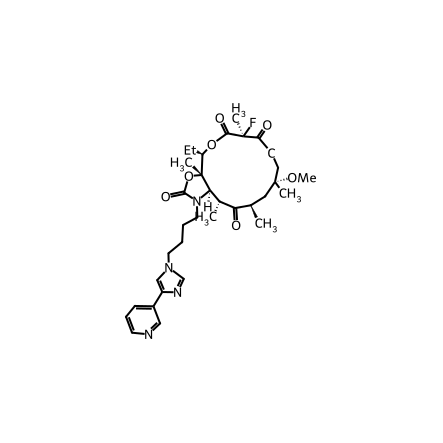 CC[C@H]1OC(=O)[C@@](C)(F)C(=O)CC[C@](C)(OC)C[C@@H](C)C(=O)[C@H](C)[C@H]2N(CCCCn3cnc(-c4cccnc4)c3)C(=O)O[C@]12C